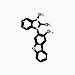 Cc1cc2c(cc1N1c3ccccc3N(C)C1C)oc1ccccc12